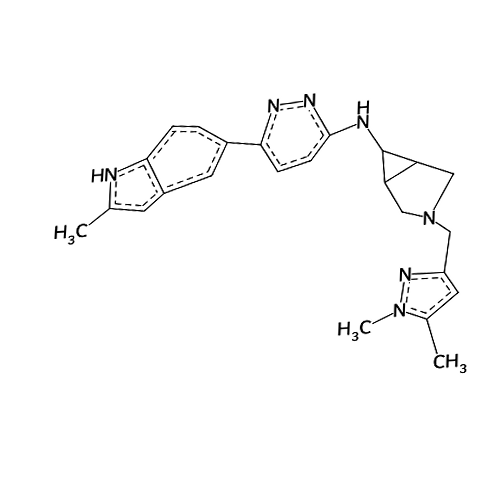 Cc1cc2cc(-c3ccc(NC4C5CN(Cc6cc(C)n(C)n6)CC54)nn3)ccc2[nH]1